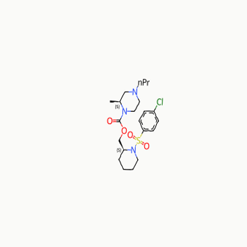 CCCN1CCN(C(=O)OC[C@@H]2CCCCN2S(=O)(=O)c2ccc(Cl)cc2)[C@@H](C)C1